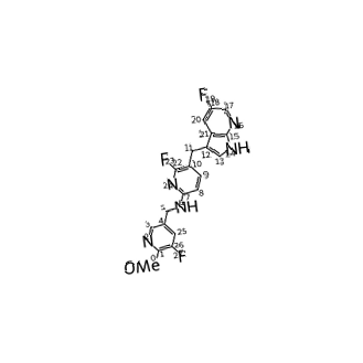 COc1ncc(CNc2ccc(Cc3c[nH]c4ncc(F)cc34)c(F)n2)cc1F